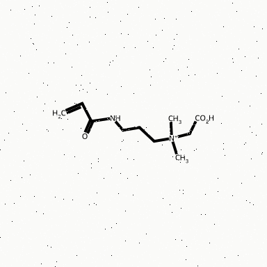 C=CC(=O)NCCC[N+](C)(C)CC(=O)O